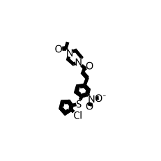 CC(=O)N1CCN(C(=O)C=Cc2ccc(Sc3ccccc3Cl)c([N+](=O)[O-])c2)CC1